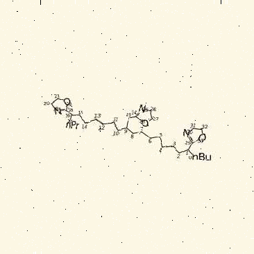 CCCCC(CCCCCCCC(CCCCCCC(CCC)C1=NCCO1)CC1=NCCO1)C1=NCCO1